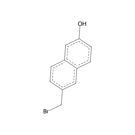 Oc1ccc2cc(CBr)ccc2c1